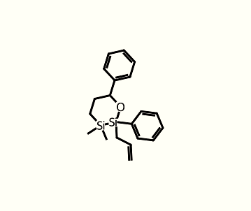 C=CC[Si]1(c2ccccc2)OC(c2ccccc2)CC[Si]1(C)C